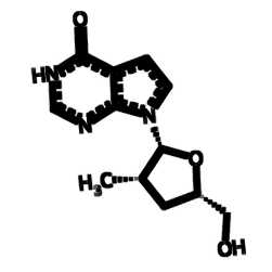 C[C@H]1C[C@@H](CO)O[C@H]1n1ccc2c(=O)[nH]cnc21